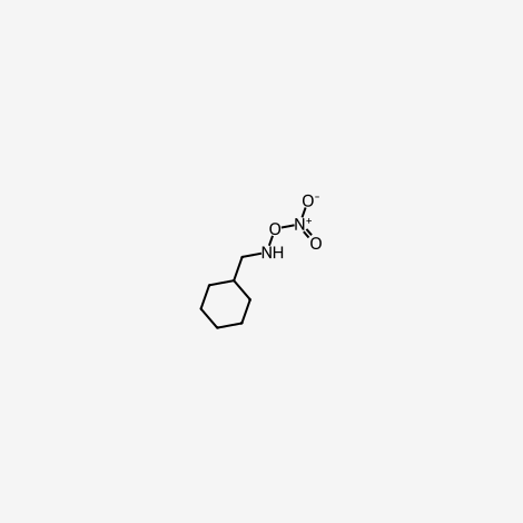 O=[N+]([O-])ONCC1CCCCC1